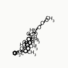 COCCOCCOCCNC(=O)COC(=O)[C@H]1CC[C@]2(C)[C@H]3C(=O)C=C4[C@@H]5C[C@@](C)(C(=O)OCc6ccccc6)CC[C@]5(C)CC[C@@]4(C)[C@]3(C)CC[C@H]2C1(C)C